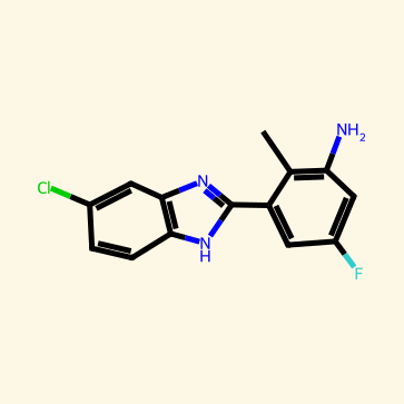 Cc1c(N)cc(F)cc1-c1nc2cc(Cl)ccc2[nH]1